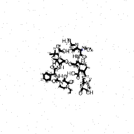 CCN1CCN(C(=O)N[C@@H](C(=O)N[C@@H]2C(=O)N3[C@@H]2SC(C)(C)[C@@H]3C(=O)O)c2ccccc2)C(=O)C1=O.CO/N=C(\C(=O)N[C@@H]1C(=O)N2C(C(=O)O)=C(CSc3nc(=O)c(O)nn3C)CS[C@H]12)c1csc(N)n1